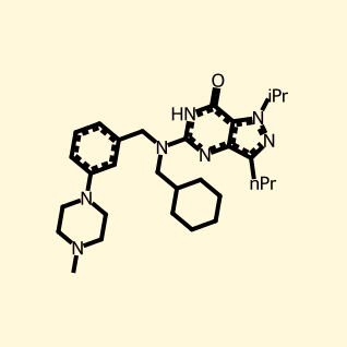 CCCc1nn(C(C)C)c2c(=O)[nH]c(N(Cc3cccc(N4CCN(C)CC4)c3)CC3CCCCC3)nc12